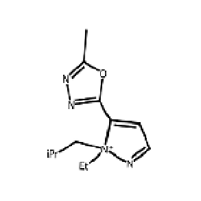 CC[N+]1(CC(C)C)N=CC=C1c1nnc(C)o1